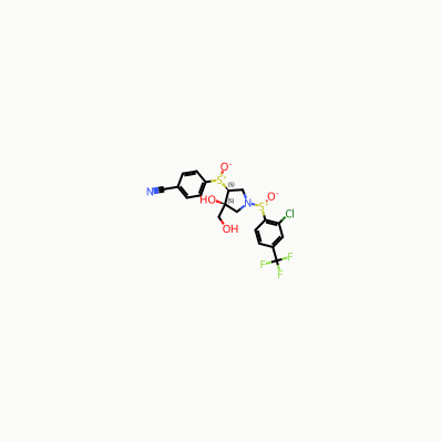 N#Cc1ccc([S+]([O-])[C@H]2CN([S+]([O-])c3ccc(C(F)(F)F)cc3Cl)C[C@]2(O)CO)cc1